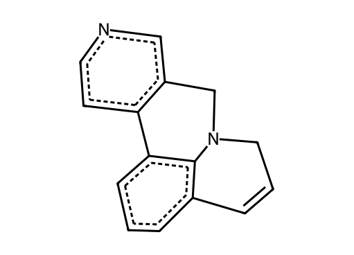 C1=Cc2cccc3c2N(C1)Cc1cnccc1-3